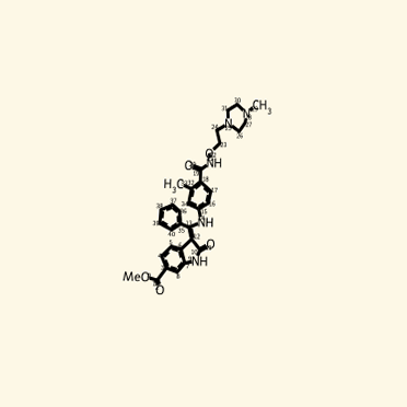 COC(=O)c1ccc2c(c1)NC(=O)/C2=C(\Nc1ccc(C(=O)NOCCN2CCN(C)CC2)c(C)c1)c1ccccc1